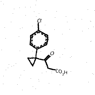 O=C(O)CC(=O)C1(c2ccc(Cl)cc2)CC1